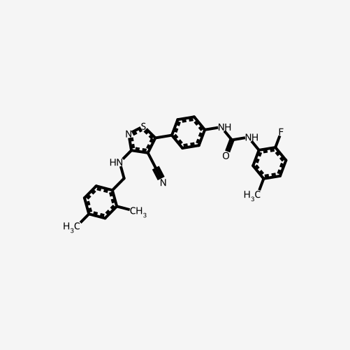 Cc1ccc(CNc2nsc(-c3ccc(NC(=O)Nc4cc(C)ccc4F)cc3)c2C#N)c(C)c1